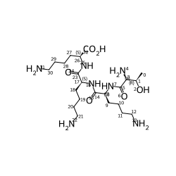 C[C@@H](O)[C@H](N)C(=O)N[C@@H](CCCCN)C(=O)N[C@@H](CCCCN)C(=O)N[C@@H](CCCCN)C(=O)O